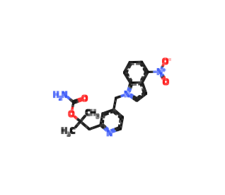 CC(C)(Cc1cc(Cn2ccc3c([N+](=O)[O-])cccc32)ccn1)OC(N)=O